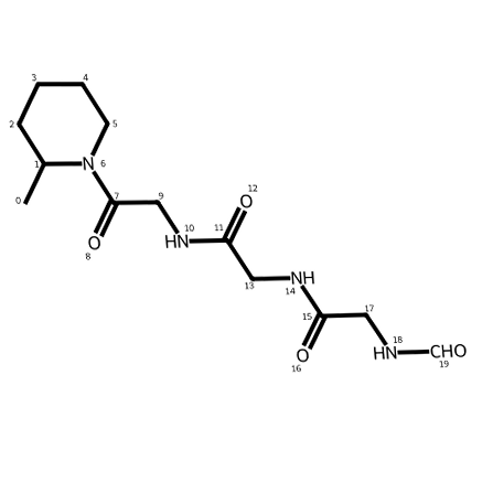 CC1CCCCN1C(=O)CNC(=O)CNC(=O)CNC=O